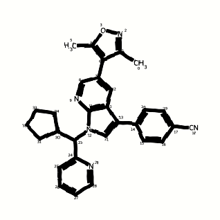 Cc1noc(C)c1-c1cnc2c(c1)c(-c1ccc(C#N)cc1)cn2C(c1ccccn1)C1CCCC1